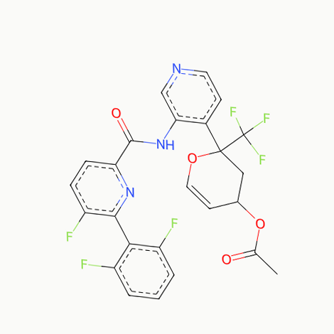 CC(=O)OC1C=COC(c2ccncc2NC(=O)c2ccc(F)c(-c3c(F)cccc3F)n2)(C(F)(F)F)C1